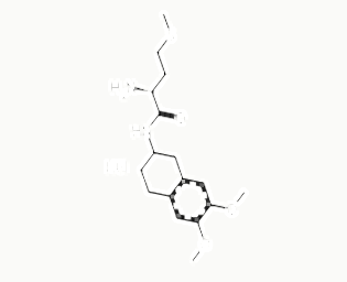 COc1cc2c(cc1OC)CC(NC(=O)[C@@H](N)CCSC)CC2.Cl